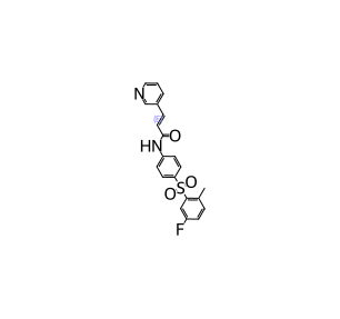 Cc1ccc(F)cc1S(=O)(=O)c1ccc(NC(=O)/C=C/c2cccnc2)cc1